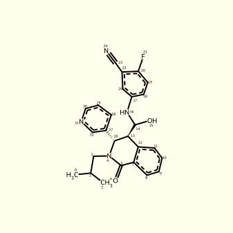 CC(C)CN1C(=O)c2ccccc2[C@H](C(O)Nc2ccc(F)c(C#N)c2)[C@H]1c1cccnc1